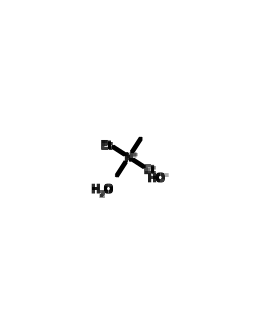 CC[N+](C)(C)CC.O.[OH-]